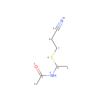 CC(=O)NC(C)SCCC#N